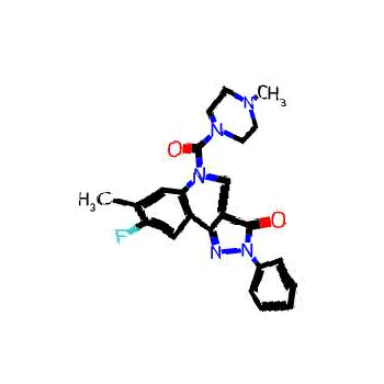 Cc1cc2c(cc1F)c1nn(-c3ccccc3)c(=O)c-1cn2C(=O)N1CCN(C)CC1